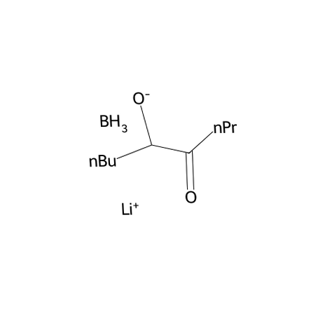 B.CCCCC([O-])C(=O)CCC.[Li+]